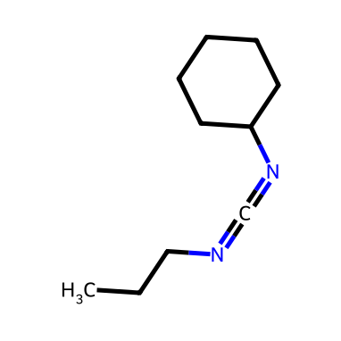 CCCN=C=NC1CCCCC1